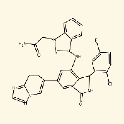 NC(=O)Cn1nc(Nc2cc(-c3ccc4ncnn4c3)cc3c2C(c2cc(F)ccc2Cl)NC3=O)c2ccccc21